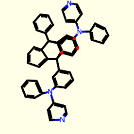 c1ccc(N(c2ccncc2)c2cccc(C34c5ccccc5C(c5ccccc5)(c5ccccc53)c3cc(N(c5ccccc5)c5ccncc5)ccc34)c2)cc1